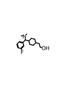 CN(C)C(c1cccc(F)c1)C1CCC(CCO)CC1